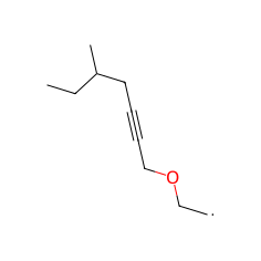 [CH2]COCC#CCC(C)CC